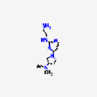 CC(=O)N(C)C1CCN(c2ccnc(NCCN)n2)C1